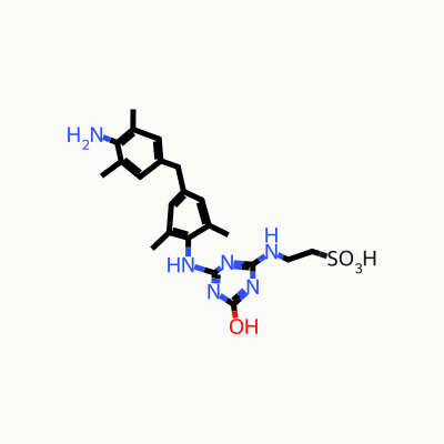 Cc1cc(Cc2cc(C)c(Nc3nc(O)nc(NCCS(=O)(=O)O)n3)c(C)c2)cc(C)c1N